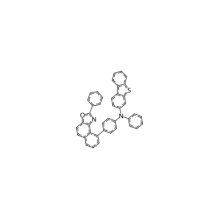 c1ccc(-c2nc3c(ccc4cccc(-c5ccc(N(c6ccccc6)c6ccc7c(c6)sc6ccccc67)cc5)c43)o2)cc1